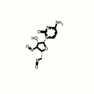 Nc1ccn([C@@H]2O[C@H](CN=O)C(N=O)[C@@H]2O)c(=O)n1